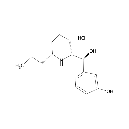 CCC[C@@H]1CCC[C@H]([C@@H](O)c2cccc(O)c2)N1.Cl